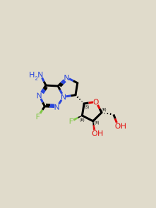 NC1=NC(F)=NN2C1=NCC2[C@@H]1O[C@H](CO)[C@@H](O)[C@H]1F